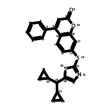 O=c1cc(-c2ccccc2)c2ccc(Sc3ncc(C(C4CC4)C4CC4)s3)cc2o1